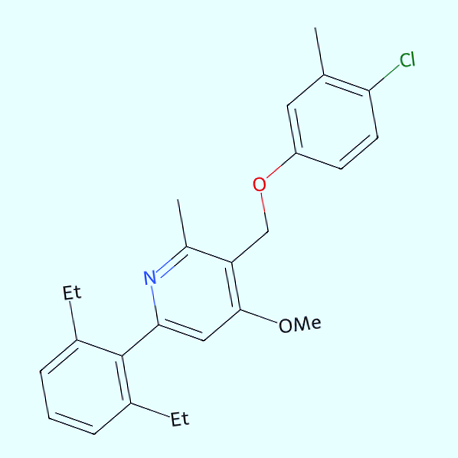 CCc1cccc(CC)c1-c1cc(OC)c(COc2ccc(Cl)c(C)c2)c(C)n1